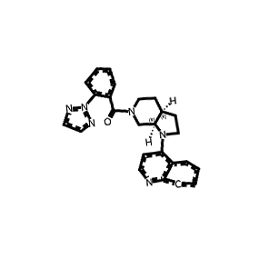 O=C(c1ccccc1-n1nccn1)N1CC[C@H]2CCN(c3ccnc4ccccc34)[C@H]2C1